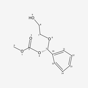 COC(=O)O[C@H](OCCO)c1ccccc1